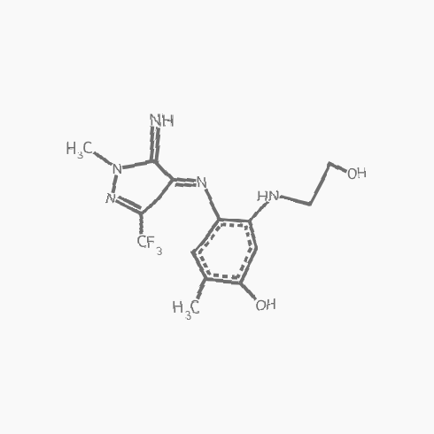 Cc1cc(N=C2C(=N)N(C)N=C2C(F)(F)F)c(NCCO)cc1O